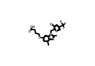 Cc1cc(OCCCC(=O)O)cc2c1nc(C)n2Cc1ncc(C(F)(F)F)cc1Cl